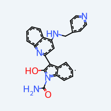 NC(=O)n1c(O)c(-c2cc(NCc3ccncc3)c3ccccc3n2)c2c[c]ccc21